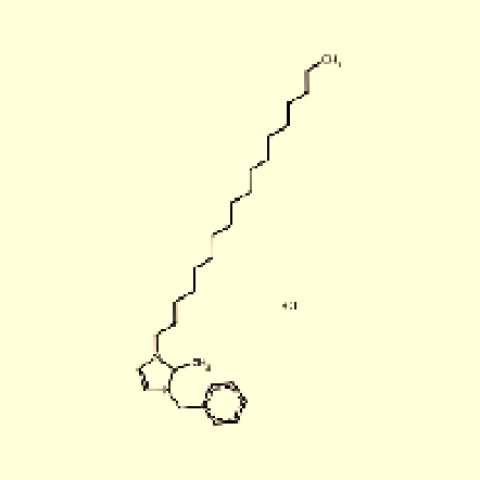 CCCCCCCCCCCCCCCCCCN1C=CN(Cc2ccccc2)C1C.Cl